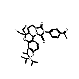 CC(=O)c1ccc(-n2c(=O)n3n(c2=O)C2C(=CC3)C(CF)(CF)Oc3cc(O[Si](C(C)C)(C(C)C)C(C)C)ccc32)cc1